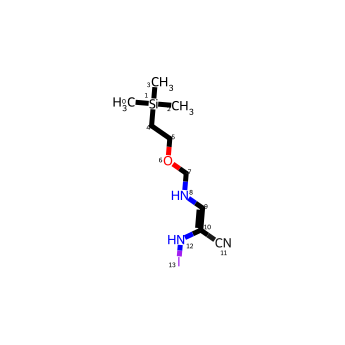 C[Si](C)(C)CCOCN/C=C(/C#N)NI